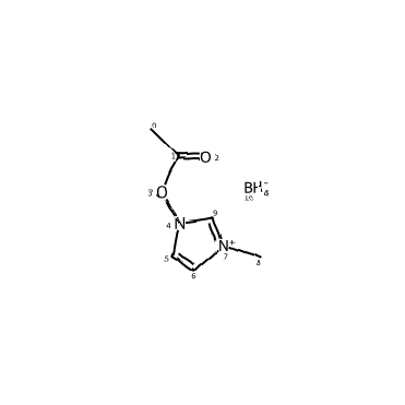 CC(=O)On1cc[n+](C)c1.[BH4-]